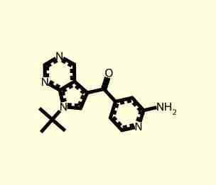 CC(C)(C)n1cc(C(=O)c2ccnc(N)c2)c2cncnc21